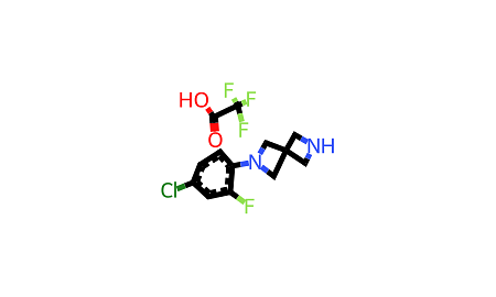 Fc1cc(Cl)ccc1N1CC2(CNC2)C1.O=C(O)C(F)(F)F